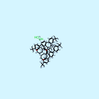 CC(C)(C)c1ccc(-c2ccc(-c3ccc(C(C)(C)C)cc3)c3c2C=C(CC2CCCCCC2)[CH]3[Zr]([CH3])([CH3])(=[SiH2])[CH]2C(CC3CCCCCC3)=Cc3c(-c4ccc(C(C)(C)C)cc4)ccc(-c4ccc(C(C)(C)C)cc4)c32)cc1.Cl.Cl